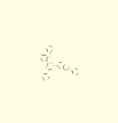 c1ccc(-c2nc(-c3ccc4sc(-c5ccccc5)nc4c3)nc(-c3cccc4c3oc3ccccc34)n2)cc1